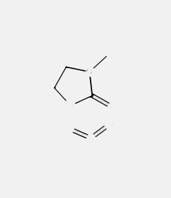 CN1CCOC1=O.O=S=O